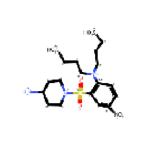 NC1CCN(S(=O)(=O)c2cc([N+](=O)[O-])ccc2N(CCCS(=O)(=O)O)CCCS(=O)(=O)O)CC1